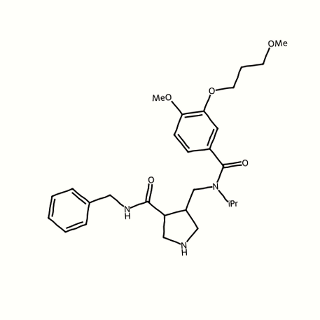 COCCCOc1cc(C(=O)N(CC2CNCC2C(=O)NCc2ccccc2)C(C)C)ccc1OC